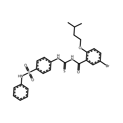 CC(C)CCOc1ccc(Br)cc1C(=O)NC(=S)Nc1ccc(S(=O)(=O)Nc2ccccc2)cc1